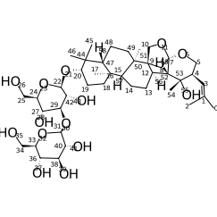 CC(C)=C[C@@H]1CO[C@]23C[C@]4(CO2)[C@H](CC[C@@H]2[C@@]5(C)CC[C@H](O[C@@H]6O[C@H](CO)[C@@H](O)[C@H](O[C@@H]7O[C@H](CO)[C@@H](O)[C@H](O)[C@H]7O)[C@H]6O)C(C)(C)[C@@H]5CC[C@]24C)[C@H]3[C@@]1(C)O